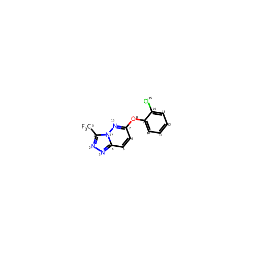 FC(F)(F)c1nnc2ccc(Oc3ccccc3Cl)nn12